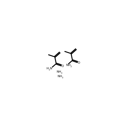 C=C(C)C(N)=O.C=C(C)C(N)=O.N.N